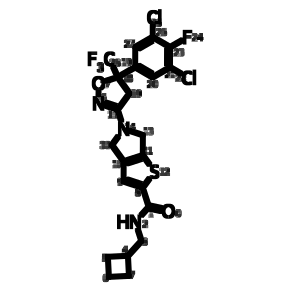 O=C(NCC1CCC1)c1cc2c(s1)CN(C1=NOC(c3cc(Cl)c(F)c(Cl)c3)(C(F)(F)F)C1)C2